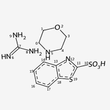 C1COCCN1.N=C(N)N.O=S(=O)(O)c1nc2ccccc2s1